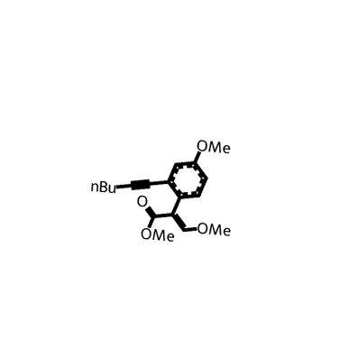 CCCCC#Cc1cc(OC)ccc1/C(=C\OC)C(=O)OC